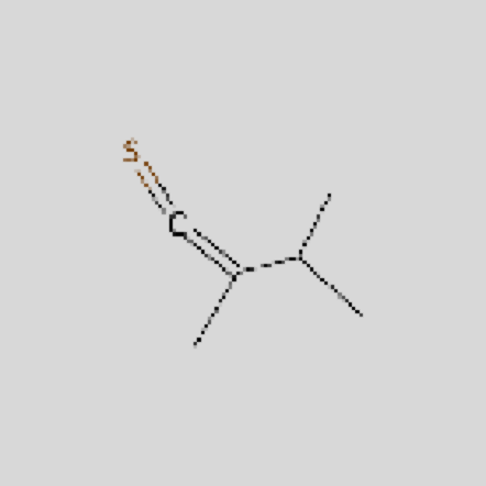 CC(=C=S)C(C)C